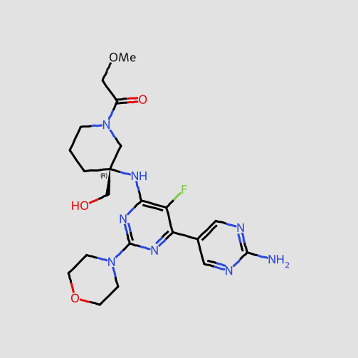 COCC(=O)N1CCC[C@@](CO)(Nc2nc(N3CCOCC3)nc(-c3cnc(N)nc3)c2F)C1